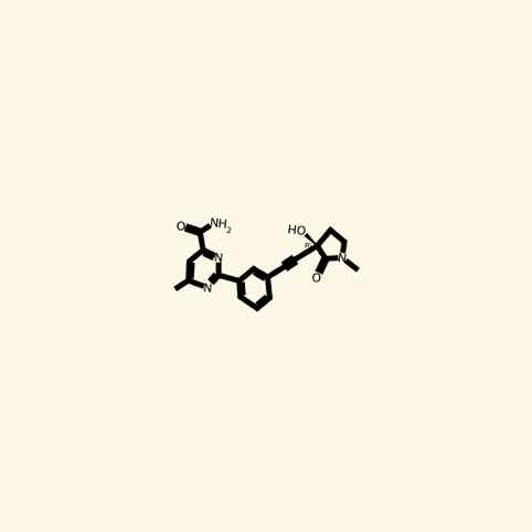 Cc1cc(C(N)=O)nc(-c2cccc(C#C[C@]3(O)CCN(C)C3=O)c2)n1